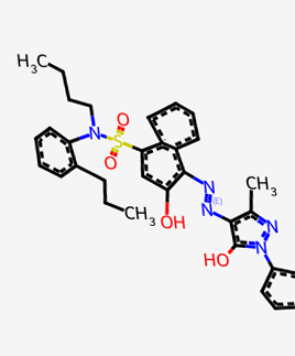 CCCCN(c1ccccc1CCC)S(=O)(=O)c1cc(O)c(/N=N/c2c(C)nn(-c3ccccc3)c2O)c2ccccc12